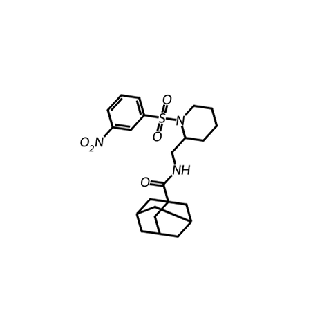 O=C(NCC1CCCCN1S(=O)(=O)c1cccc([N+](=O)[O-])c1)C12CC3CC(CC(C3)C1)C2